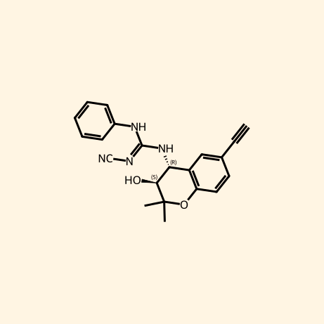 C#Cc1ccc2c(c1)[C@@H](NC(=NC#N)Nc1ccccc1)[C@H](O)C(C)(C)O2